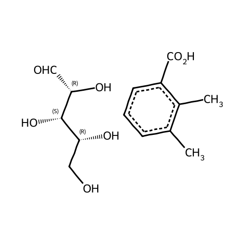 Cc1cccc(C(=O)O)c1C.O=C[C@H](O)[C@@H](O)[C@H](O)CO